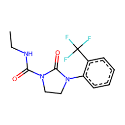 CCNC(=O)N1CCN(c2ccccc2C(F)(F)F)C1=O